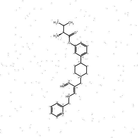 CC(C)[C@H](N)C(=O)Oc1cccc(C2CCN(C/C(=C/NCc3ccccn3)N=N)CC2)c1